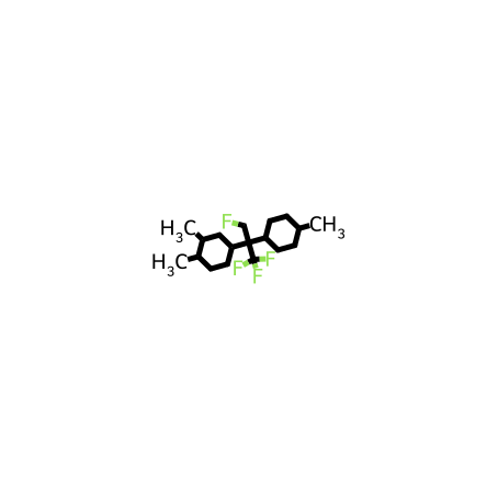 CC1CCC(C(CF)(C2CCC(C)C(C)C2)C(F)(F)F)CC1